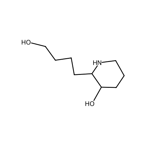 OCCCCC1NCCCC1O